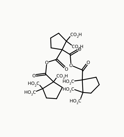 O=C(O)C1(C(=O)O)CCCC1(C(=O)O)C(=O)OC(=O)C1(C(=O)OC(=O)C2(C(=O)O)CCCC2(C(=O)O)C(=O)O)CCCC1(C(=O)O)C(=O)O